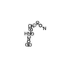 CS(=O)(=O)c1ccc(N2CCC(NC(=O)c3ccc(C(=O)N4CCC(C(=O)c5ccc(C#N)cc5)CC4)nc3)CC2)cc1